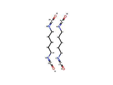 O=C=NCCCCCN=C=O.O=C=NCCCCCN=C=O